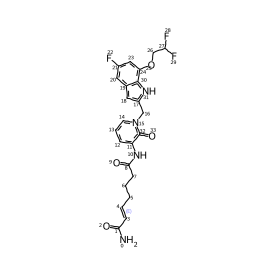 NC(=O)/C=C/CCCC(=O)Nc1cccn(Cc2cc3cc(F)cc(OCC(F)F)c3[nH]2)c1=O